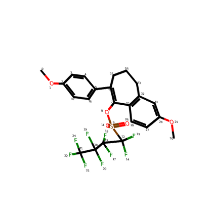 COc1ccc(C2=C(OS(=O)(=O)C(F)(F)C(F)(F)C(F)(F)C(F)(F)F)c3ccc(OC)cc3CCC2)cc1